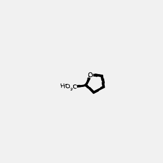 O=C(O)[C]1CCCO1